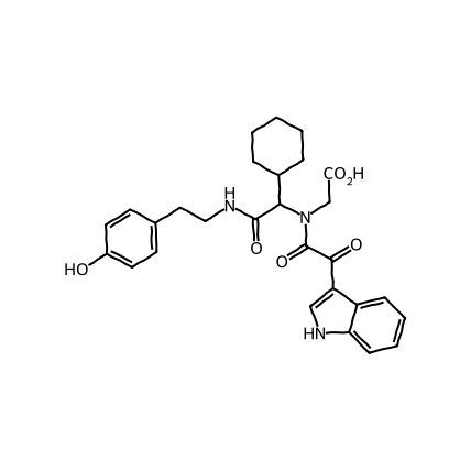 O=C(O)CN(C(=O)C(=O)c1c[nH]c2ccccc12)C(C(=O)NCCc1ccc(O)cc1)C1CCCCC1